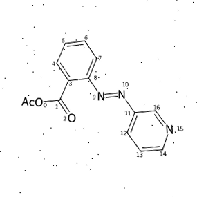 CC(=O)OC(=O)c1ccccc1N=Nc1cccnc1